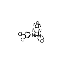 Clc1ccc(Nc2nc3nonc3nc2N2CCOCC2)cc1Cl